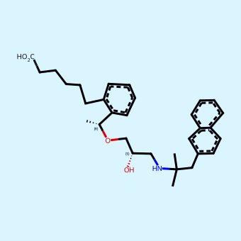 C[C@@H](OC[C@@H](O)CNC(C)(C)Cc1ccc2ccccc2c1)c1ccccc1CCCCCC(=O)O